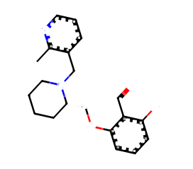 Cc1ncccc1CN1CCCC[C@H]1COc1cccc(O)c1C=O